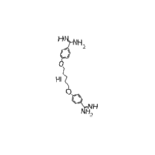 I.N=C(N)c1ccc(OCCCCCOc2ccc(C(=N)N)cc2)cc1